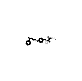 CC(NCc1ccc(OCCCC(C)c2ccccc2)cc1)C(N)=O